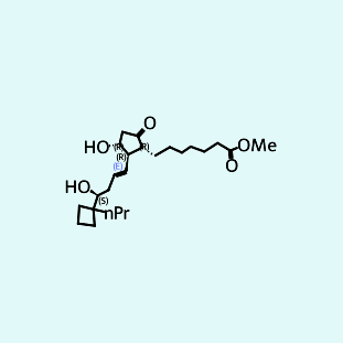 CCCC1([C@@H](O)C/C=C/[C@H]2[C@H](O)CC(=O)[C@@H]2CCCCCCC(=O)OC)CCC1